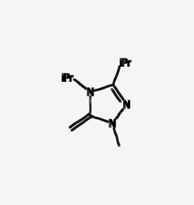 C=C1N(C)N=C(C(C)C)N1C(C)C